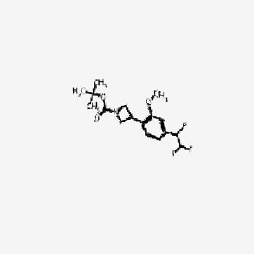 COc1cc(C(F)C(F)F)ccc1C1CN(C(=O)OC(C)(C)C)C1